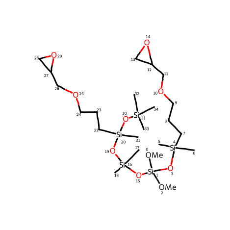 CO[Si](OC)(O[Si](C)(C)CCCOCC1CO1)O[Si](C)(C)O[Si](C)(CCCOCC1CO1)O[Si](C)(C)C